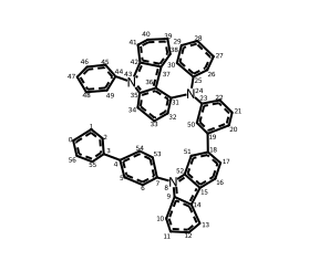 c1ccc(-c2ccc(-n3c4ccccc4c4ccc(-c5cccc(N(c6ccccc6)c6cccc7c6c6ccccc6n7-c6ccccc6)c5)cc43)cc2)cc1